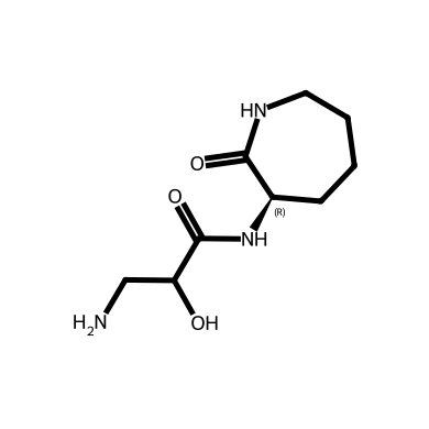 NCC(O)C(=O)N[C@@H]1CCCCNC1=O